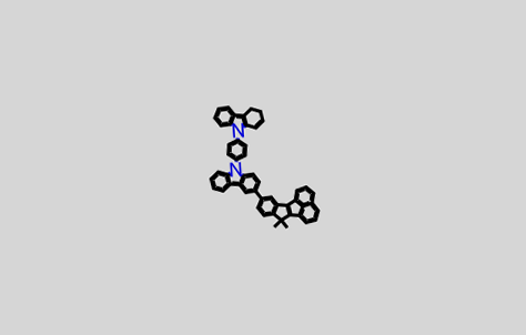 CC1(C)C2=C(c3cc(-c4ccc5c(c4)c4ccccc4n5-c4ccc(-n5c6c(c7ccccc75)CCC=C6)cc4)ccc31)c1cccc3cccc2c13